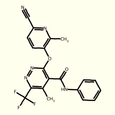 Cc1nc(C#N)ccc1Oc1nnc(C(F)(F)F)c(C)c1C(=O)Nc1ccccc1